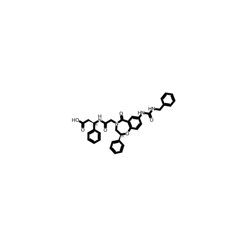 O=C(O)C[C@@H](NC(=O)CN1C[C@H](c2ccccc2)Oc2ccc(NC(=O)NCc3ccccc3)cc2C1=O)c1ccccc1